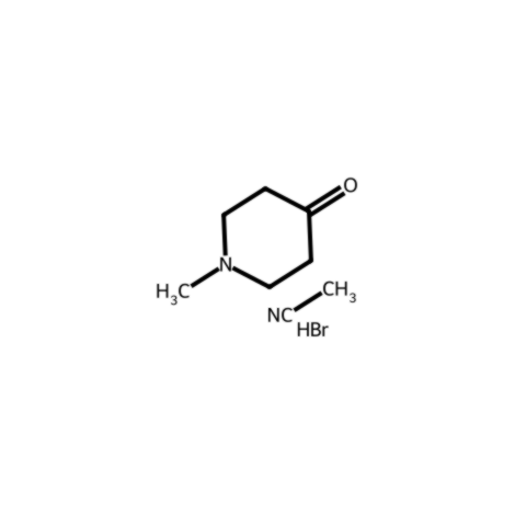 Br.CC#N.CN1CCC(=O)CC1